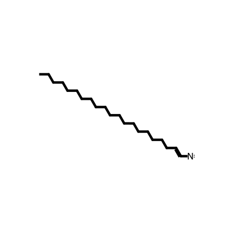 CCCCCCCCCCCCCCCCCCC/C=C/[N]